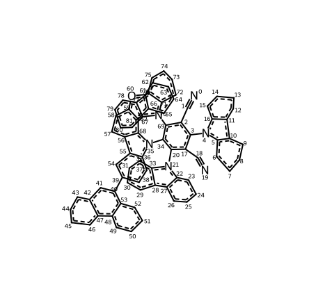 N#Cc1c(-n2c3ccccc3c3ccccc32)c(C#N)c(-n2c3ccccc3c3ccccc32)c(-n2c3ccc(-c4cc5ccccc5c5ccccc45)cc3c3ccc4oc5ccccc5c4c32)c1-n1c2ccccc2c2ccccc21